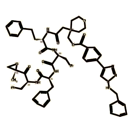 CC(C)C[C@H](NC(=O)[C@H](CCc1ccccc1)NC(=O)C[N+]1(COC(=O)c2ccc(-c3cn(PCc4ccccc4)nn3)cc2)CCOCC1)C(=O)N[C@@H](Cc1ccccc1)C(=O)N[C@@H](CC(C)C)C(=O)[C@@]1(C)CO1